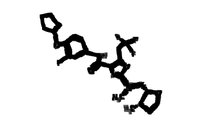 C[C@H]1CCO[C@H]1CN(C)c1nc(C(=O)Nc2ccc(OC3CCCC3)c(F)c2)c(CC(F)(F)F)o1